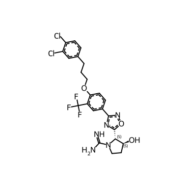 N=C(N)N1CC[C@H](O)[C@H]1c1nc(-c2ccc(OCCCc3ccc(Cl)c(Cl)c3)c(C(F)(F)F)c2)no1